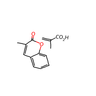 C=C(C)C(=O)O.Cc1cc2ccccc2oc1=O